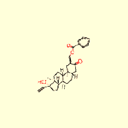 C#C[C@]1(O)CC[C@H]2[C@@H]3CC[C@H]4CC(=O)C(=COC(=O)c5ccccc5)C[C@]4(C)[C@H]3CC[C@@]21C